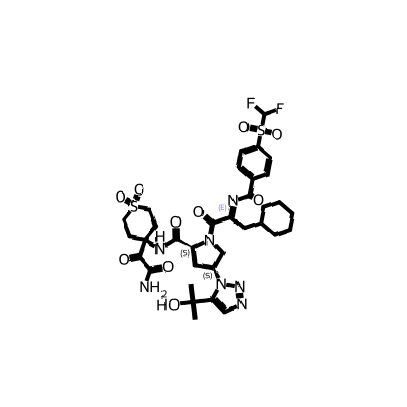 CC(C)(O)c1cnnn1[C@H]1C[C@@H](C(=O)NC2(C(=O)C(N)=O)CCS(=O)(=O)CC2)N(C(=O)/C(CC2CCCCC2)=N/C(=O)c2ccc(S(=O)(=O)C(F)F)cc2)C1